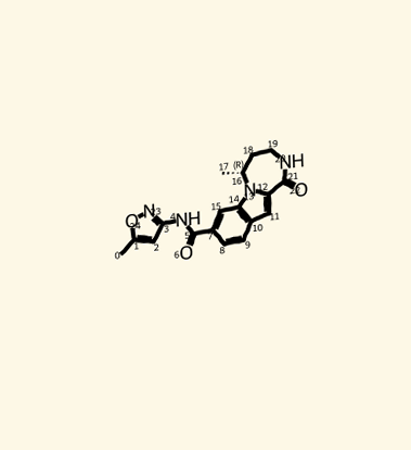 Cc1cc(NC(=O)c2ccc3cc4n(c3c2)[C@H](C)CCNC4=O)no1